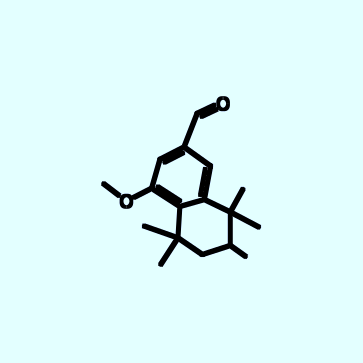 COc1cc(C=O)cc2c1C(C)(C)CC(C)C2(C)C